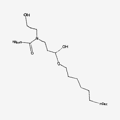 CCCCCCCCCCCCCCCCOC(O)CCN(CCO)C(=O)CCCCCCCCC